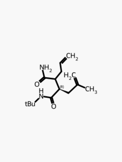 C=CCC(C(N)=O)[C@@H](CC(=C)C)C(=O)NC(C)(C)C